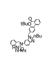 CCCCCCNC(=O)N(Cc1ccccc1)c1ccc2nc(CCCC)n(Cc3ccc(-c4ccccc4C(=O)OC(C)(C)C)cc3)c2c1